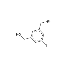 CC(C)Cc1cc(I)cc([CH]O)c1